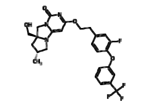 C[C@H]1CN2c3cc(OCCc4ccc(Oc5cccc(C(F)(F)F)c5)c(F)c4)nc(=O)n3C[C@@]2(CO)C1